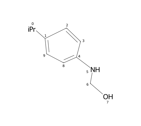 CC(C)c1ccc(NCO)cc1